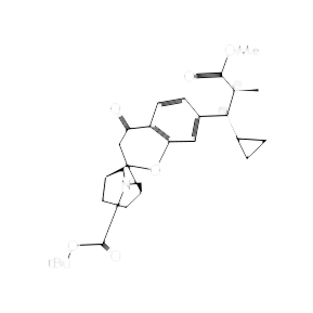 COC(=O)[C@@H](C)[C@H](c1ccc2c(c1)OC1(CC2=O)C2CCC1CN(C(=O)OC(C)(C)C)C2)C1CC1